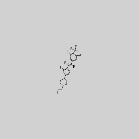 CCCC1CCC(c2ccc(/C(F)=C(\F)c3cc(F)c(C(F)(F)F)c(F)c3)c(F)c2)CC1